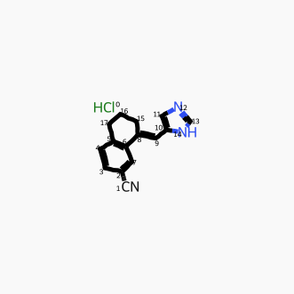 Cl.N#Cc1ccc2c(c1)C(=Cc1cnc[nH]1)CCC2